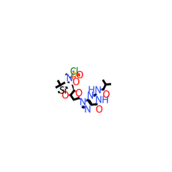 CC(C)C(=O)Nc1nc2c(ncn2[C@H]2CC(O[Si](C)(C)C(C)(C)C)[C@@H](COP(=O)(Cl)N(C)C)O2)c(=O)[nH]1